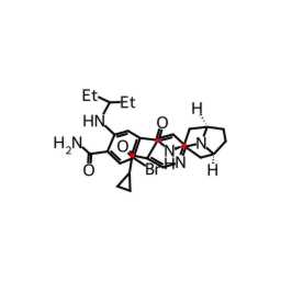 CCC(CC)Nc1cc(C(=O)N[C@H]2C[C@H]3CC[C@@H](C2)N3c2ccc(C(=O)C3CC3)cn2)c(Br)cc1C(N)=O